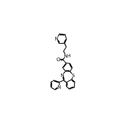 O=C(NCCc1cccnc1)c1ccc2c(c1)N=C(c1ccccn1)c1ccccc1S2